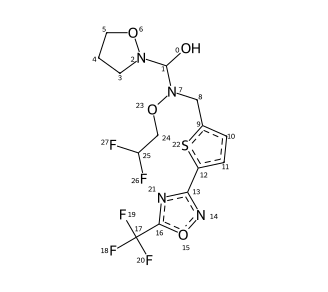 OC(N1CCCO1)N(Cc1ccc(-c2noc(C(F)(F)F)n2)s1)OCC(F)F